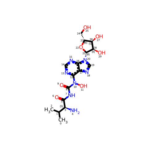 CC(C)[C@H](N)C(=O)NC(=O)N(O)c1ncnc2c1ncn2[C@@H]1O[C@H](CO)[C@@H](O)[C@H]1O